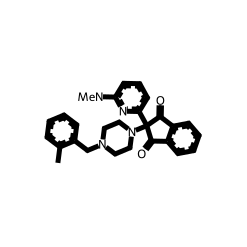 CNc1cccc(C2(N3CCN(Cc4ccccc4C)CC3)C(=O)c3ccccc3C2=O)n1